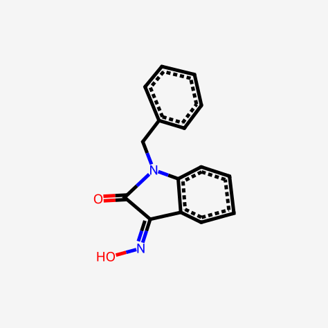 O=C1C(=NO)c2ccccc2N1Cc1ccccc1